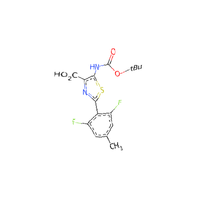 Cc1cc(F)c(-c2nc(C(=O)O)c(NC(=O)OC(C)(C)C)s2)c(F)c1